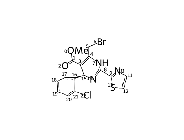 COC(=O)C1=C(CBr)NC(c2nccs2)=N[C@H]1c1ccccc1Cl